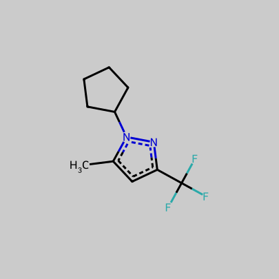 Cc1cc(C(F)(F)F)nn1C1CCCC1